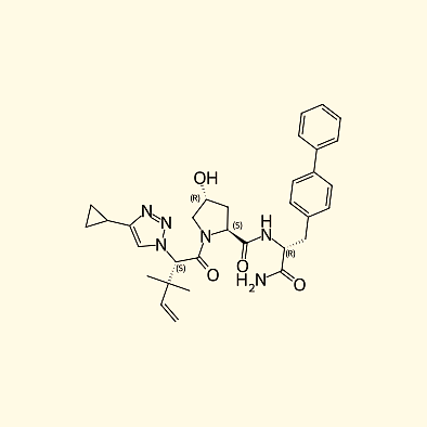 C=CC(C)(C)[C@@H](C(=O)N1C[C@H](O)C[C@H]1C(=O)N[C@H](Cc1ccc(-c2ccccc2)cc1)C(N)=O)n1cc(C2CC2)nn1